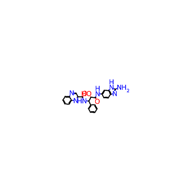 Nc1nc2ccc(NC(=O)C(O)C(NC(=O)c3cnc4ccccc4n3)c3ccccc3)cc2[nH]1